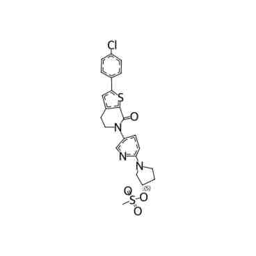 CS(=O)(=O)O[C@H]1CCN(c2ccc(N3CCc4cc(-c5ccc(Cl)cc5)sc4C3=O)cn2)C1